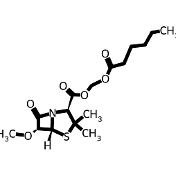 CCCCCC(=O)OCOC(=O)[C@@H]1N2C(=O)[C@@H](OC)[C@H]2SC1(C)C